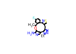 CCn1nnc2c1-c1cnc(N)c(c1)OC(C)c1cc(F)ccc1-c1nscc1C2